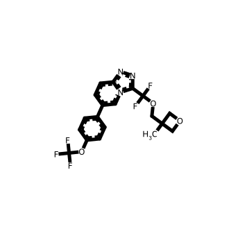 CC1(COC(F)(F)c2nnc3ccc(-c4ccc(OC(F)(F)F)cc4)cn23)COC1